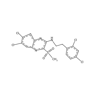 CS(=O)(=O)c1nc2cc(Cl)c(Cl)cc2nc1NCCc1ccc(Cl)cc1Cl